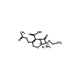 CCO[C@]1(N)C(=O)N2C(C(=O)O)=C(COC(C)=O)CS[C@@H]21